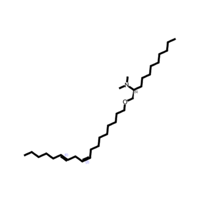 CCCCC/C=C/C/C=C\CCCCCCCCOC[C@H](CCCCCCCCC)N(C)C